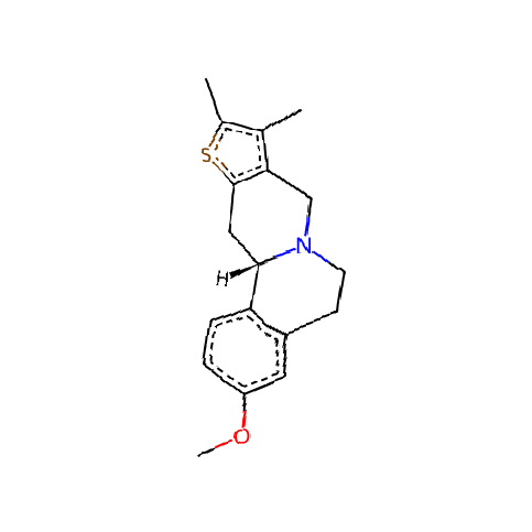 COc1ccc2c(c1)CCN1Cc3c(sc(C)c3C)C[C@@H]21